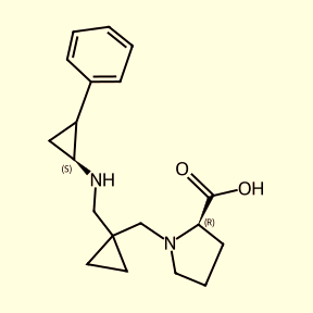 O=C(O)[C@H]1CCCN1CC1(CN[C@H]2CC2c2ccccc2)CC1